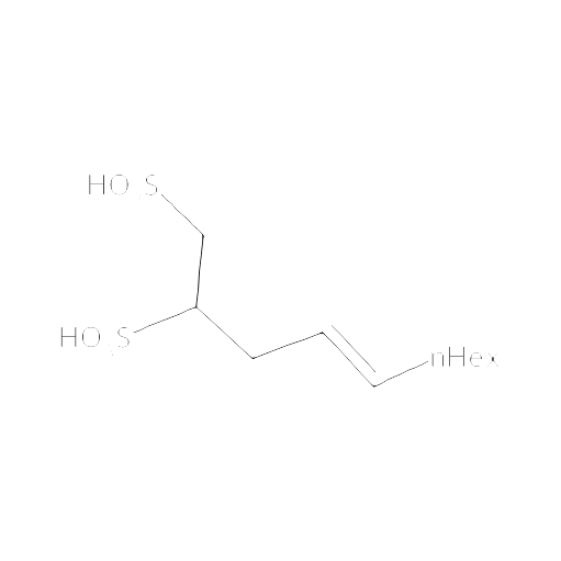 CCCCCC/C=C/CC(CS(=O)(=O)O)S(=O)(=O)O